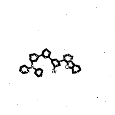 Brc1cc(-c2cccc(-c3cccc(N(c4ccccc4)c4ccccc4)c3)c2)cc(-c2cccc3c2oc2ccccc23)c1